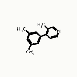 Cc1cc(C)cc(-c2ccncc2C)c1